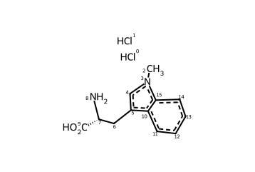 Cl.Cl.Cn1cc(C[C@@H](N)C(=O)O)c2ccccc21